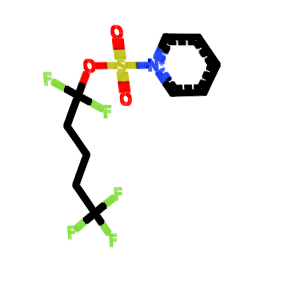 O=S(=O)(OC(F)(F)CCCC(F)(F)F)[n+]1ccccc1